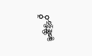 COC[C@H](NC(=O)c1ccn(S(C)(=O)=O)c1)C(=O)Nc1nc(-c2cccc(-c3ccncc3)c2)cs1